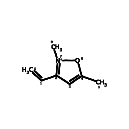 C=Cc1cc(C)o[n+]1C